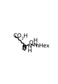 CCCCCCNCC(=O)NCC1C2CCC(O2)C1CCCCCCC(=O)O